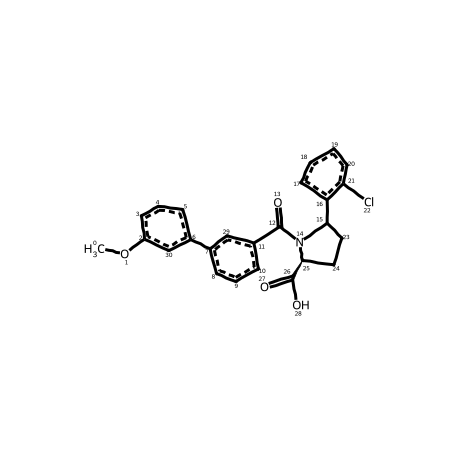 COc1cccc(-c2cccc(C(=O)N3C(c4ccccc4Cl)CC[C@H]3C(=O)O)c2)c1